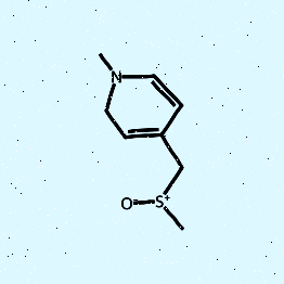 CN1C=CC(C[S+](C)[O-])=CC1